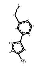 CC(C)Cc1ccnc(-c2cc(C(F)(F)F)n[nH]2)c1